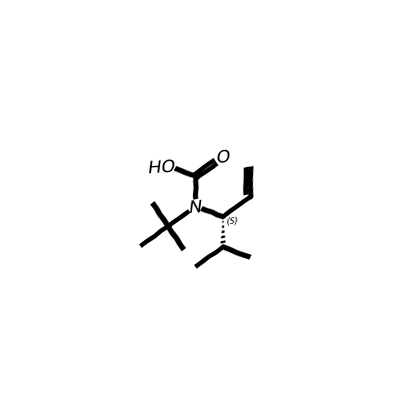 C=C[C@H](C(C)C)N(C(=O)O)C(C)(C)C